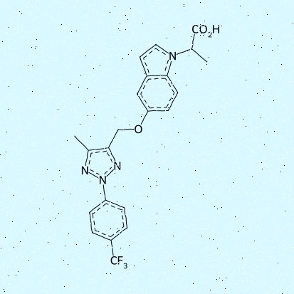 Cc1nn(-c2ccc(C(F)(F)F)cc2)nc1COc1ccc2c(ccn2C(C)C(=O)O)c1